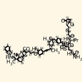 Cc1c(Nc2nc3ccccc3s2)nnc2c1CCCN2c1nc(C(=O)O)c(CCCOc2ccc(C#CC(C)N3CC[N+](C)(Cc4ccc(NC(=O)C(S)(CCCNC(N)=O)NC(=O)[C@@H](NC(=O)CCOCCN5C(=O)C=CC5=O)C(C)C)cc4)CC3)cc2F)s1